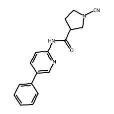 N#CN1CCC(C(=O)Nc2ccc(-c3ccccc3)cn2)C1